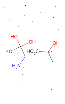 CC(O)C(=O)O.NCC(O)(O)O